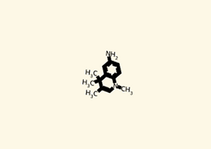 CC1=CN(C)c2ccc(N)cc2C1(C)C